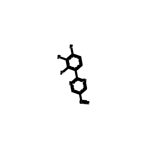 COc1cnc(-c2ccc(F)c(F)c2F)nc1